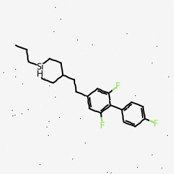 CCC[SiH]1CCC(CCc2cc(F)c(-c3ccc(F)cc3)c(F)c2)CC1